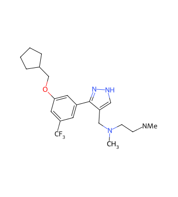 CNCCN(C)Cc1c[nH]nc1-c1cc(OCC2CCCC2)cc(C(F)(F)F)c1